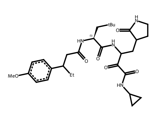 CCC(CC(=O)N[C@@H](CC(C)(C)C)C(=O)NC(CC1CCNC1=O)C(=O)C(=O)NC1CC1)c1ccc(OC)cc1